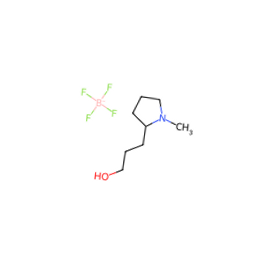 CN1CCCC1CCCO.F[B-](F)(F)F